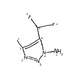 Cc1nnn(N)c1C(F)F